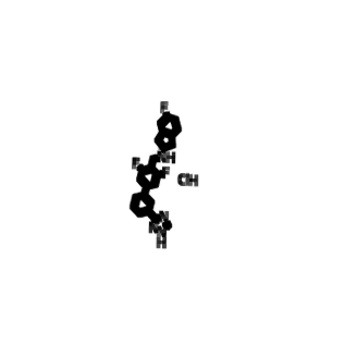 Cl.Fc1ccc2c(c1)C[C@H](NCc1c(F)cc(-c3cccc(-c4nc[nH]n4)c3)cc1F)C2